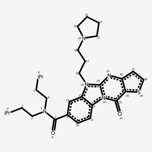 CC(C)CCN(CCC(C)C)C(=O)c1ccc2c(c1)n(CCCN1CCCC1)c1nc3ccsc3c(=O)n21